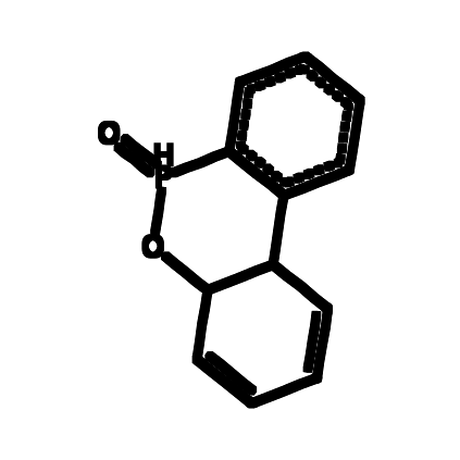 O=[PH]1OC2C=CC=CC2c2ccccc21